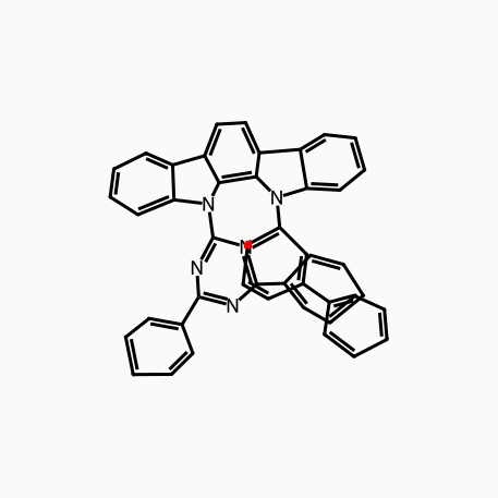 c1ccc(-c2cccc(-n3c4ccccc4c4ccc5c6ccccc6n(-c6nc(-c7ccccc7)nc(-c7ccccc7)n6)c5c43)c2)cc1